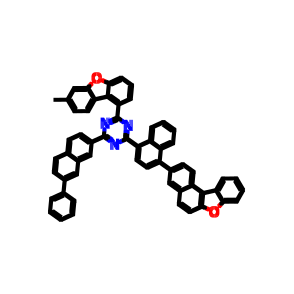 Cc1ccc2c(c1)oc1cccc(-c3nc(-c4ccc5ccc(-c6ccccc6)cc5c4)nc(-c4ccc(-c5ccc6c(ccc7oc8ccccc8c76)c5)c5ccccc45)n3)c12